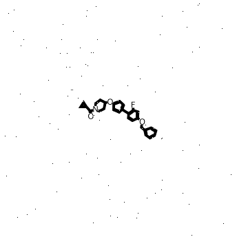 O=C(C1CC1)N1CCC(Oc2ccc(-c3ccc(OCc4ccccc4)cc3F)cc2)CC1